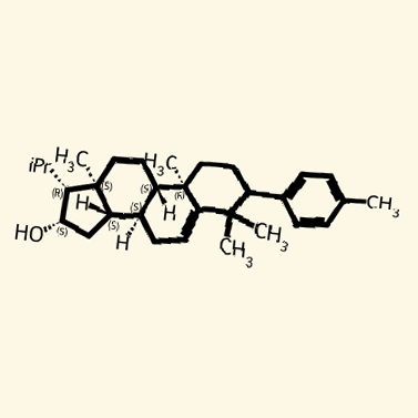 Cc1ccc(C2CC[C@@]3(C)C(=CC[C@H]4[C@@H]5C[C@H](O)[C@H](C(C)C)[C@@]5(C)CC[C@@H]43)C2(C)C)cc1